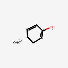 O=C[C@@H]1C=CC(O)=CC1